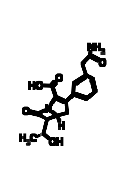 C[C@@H](O)[C@H]1C(=O)N2C(C(=O)O)=C(c3cccc(CC(N)=O)c3)C[C@H]12